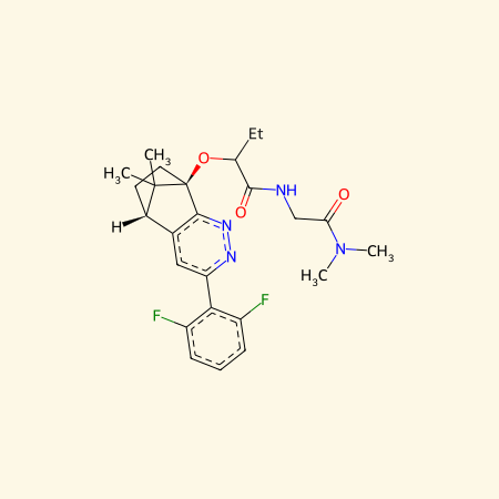 CCC(O[C@@]12CC[C@@H](c3cc(-c4c(F)cccc4F)nnc31)C2(C)C)C(=O)NCC(=O)N(C)C